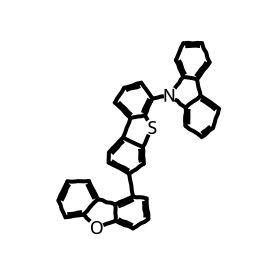 c1ccc2c(c1)oc1cccc(-c3ccc4c(c3)sc3c(-n5c6ccccc6c6ccccc65)cccc34)c12